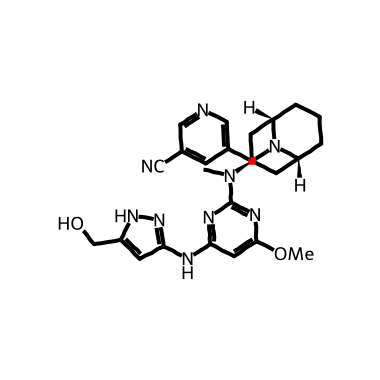 COc1cc(Nc2cc(CO)[nH]n2)nc(N(C)[C@@H]2C[C@H]3CCC[C@@H](C2)N3Cc2cncc(C#N)c2)n1